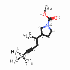 CC(CC#C[Si](C)(C)C)C1CCN(C(=O)OC(C)(C)C)C1